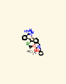 O=C(O)OC1(CN(Cc2ccc3sc(-c4ccccc4-c4nnn[nH]4)c(Br)c3c2)C(=O)OC2CC2)CCCC1